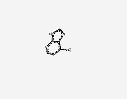 ClC(Cl)(Cl)c1ncnc2[nH]cnc12